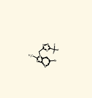 Cc1nc2ncc(Br)cc2n1Cc1nnc(C(F)(F)F)o1